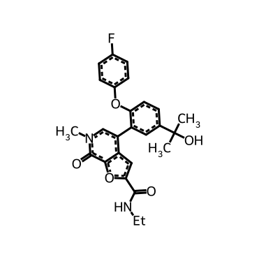 CCNC(=O)c1cc2c(-c3cc(C(C)(C)O)ccc3Oc3ccc(F)cc3)cn(C)c(=O)c2o1